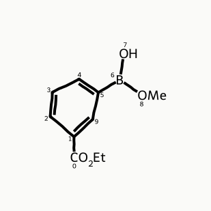 CCOC(=O)c1cccc(B(O)OC)c1